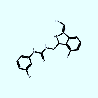 N/C=C1\NC(CNC(=O)Nc2cccc(Br)c2)c2c(F)cccc21